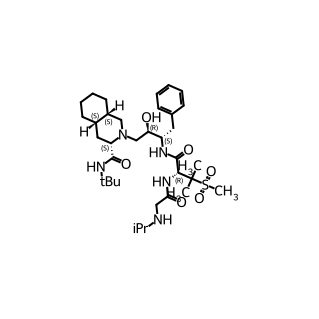 CC(C)NCC(=O)N[C@H](C(=O)N[C@@H](Cc1ccccc1)[C@H](O)CN1C[C@H]2CCCC[C@H]2C[C@H]1C(=O)NC(C)(C)C)C(C)(C)S(C)(=O)=O